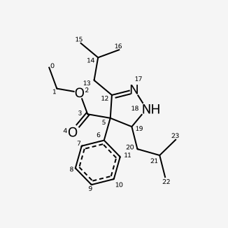 CCOC(=O)C1(c2ccccc2)C(CC(C)C)=NNC1CC(C)C